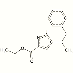 CCOC(=O)c1cc(C(C)Cc2ccccc2)[nH]n1